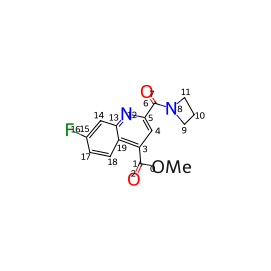 COC(=O)c1cc(C(=O)N2CCC2)nc2cc(F)ccc12